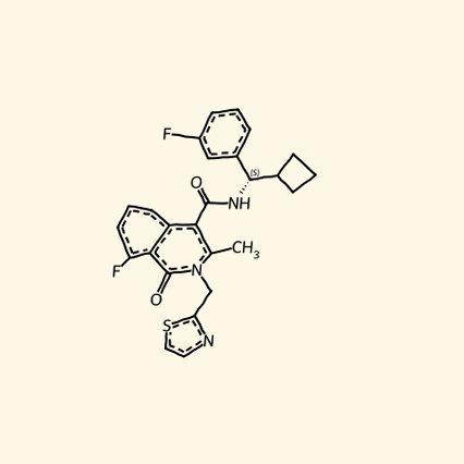 Cc1c(C(=O)N[C@H](c2cccc(F)c2)C2CCC2)c2cccc(F)c2c(=O)n1Cc1nccs1